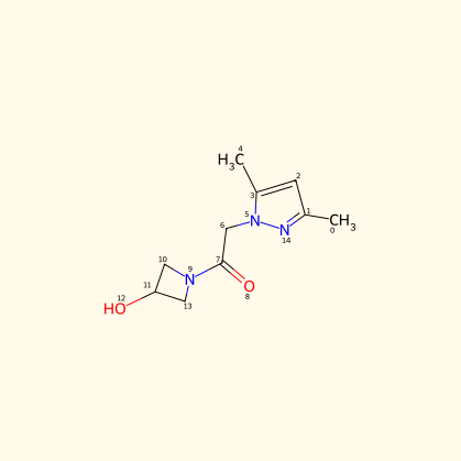 Cc1cc(C)n(CC(=O)N2CC(O)C2)n1